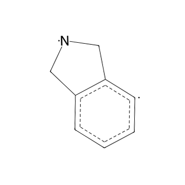 [c]1cccc2c1C[N]C2